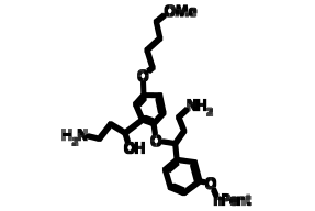 CCCCCOc1cccc(C(CCN)Oc2ccc(OCCCCOC)cc2C(O)CCN)c1